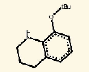 CC(C)(C)Oc1cccc2c1NCCC2